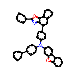 c1ccc(-c2ccc(N(c3ccc(-c4cc5ccccc5c5oc(-c6ccccc6)nc45)cc3)c3ccc4c(c3)oc3ccccc34)cc2)cc1